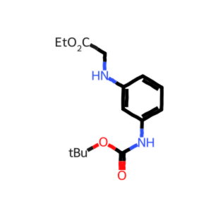 CCOC(=O)CNc1cccc(NC(=O)OC(C)(C)C)c1